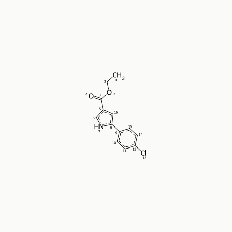 CCOC(=O)c1c[nH]c(-c2ccc(Cl)cc2)c1